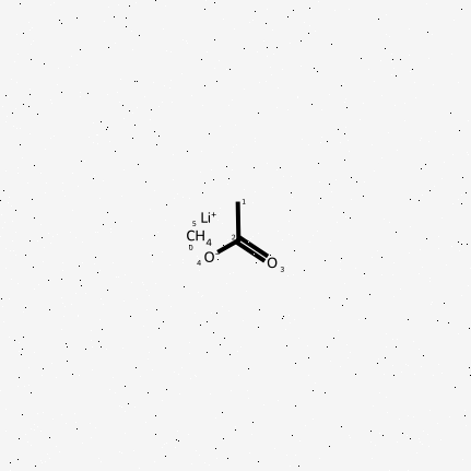 C.CC(=O)[O-].[Li+]